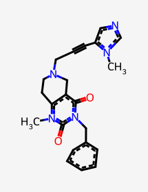 Cn1cncc1C#CCN1CCc2c(c(=O)n(Cc3ccccc3)c(=O)n2C)C1